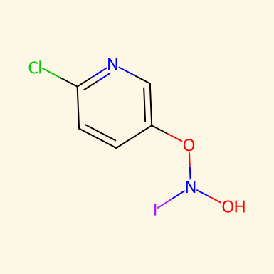 ON(I)Oc1ccc(Cl)nc1